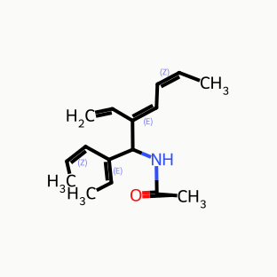 C=C/C(=C\C=C/C)C(NC(C)=O)C(/C=C\C)=C/C